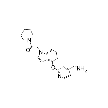 NCc1ccnc(Oc2cccc3c2ccn3CC(=O)N2CCCCC2)c1